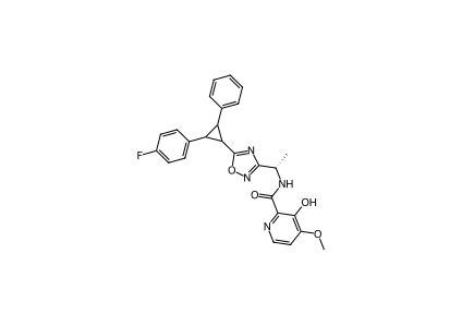 COc1ccnc(C(=O)N[C@@H](C)c2noc(C3C(c4ccccc4)C3c3ccc(F)cc3)n2)c1O